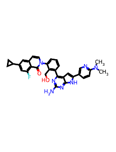 CN(C)c1ccc(-c2cc3c(-c4cccc(-n5ccc6cc(C7CC7)cc(F)c6c5=O)c4CO)nc(N)nc3[nH]2)cn1